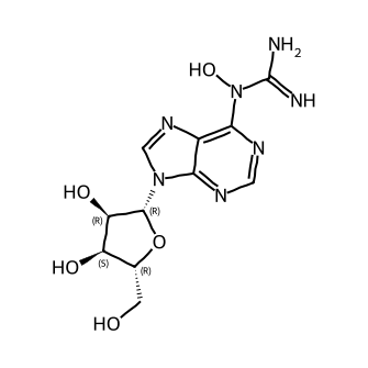 N=C(N)N(O)c1ncnc2c1ncn2[C@@H]1O[C@H](CO)[C@@H](O)[C@H]1O